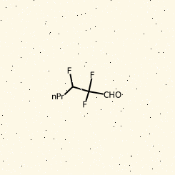 CCCC(F)C(F)(F)[C]=O